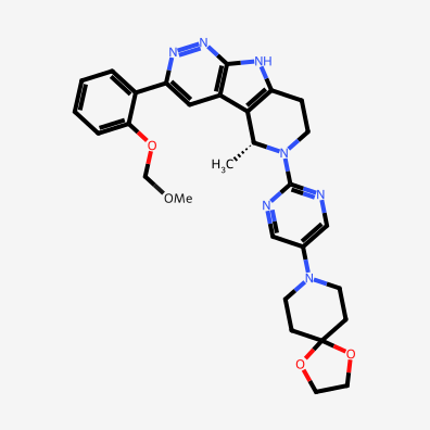 COCOc1ccccc1-c1cc2c3c([nH]c2nn1)CCN(c1ncc(N2CCC4(CC2)OCCO4)cn1)[C@@H]3C